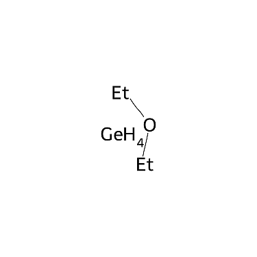 CCOCC.[GeH4]